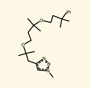 CC(C)C(C)(C)CCOC(C)(C)CCOC(C)(C)Cc1cn(C)nn1